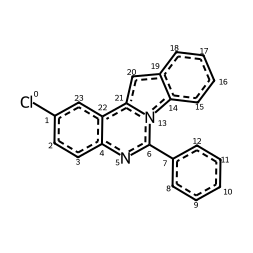 Clc1ccc2nc(-c3ccccc3)n3c4ccccc4cc3c2c1